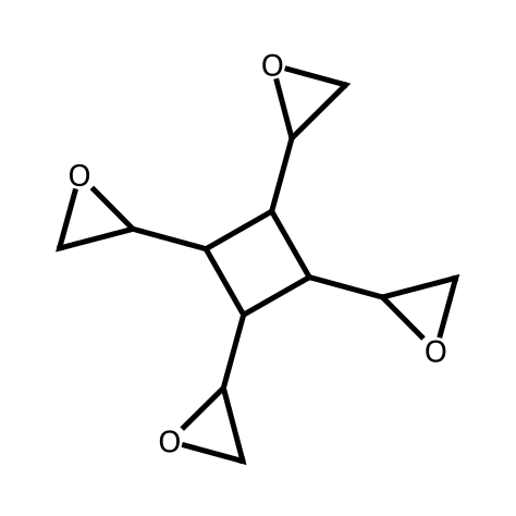 C1OC1C1C(C2CO2)C(C2CO2)C1C1CO1